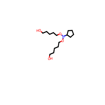 OCCCCCON(OCCCCCO)C1CCCC1